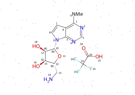 CNc1ncnc2c1ccn2[C@@H]1O[C@H](CN)[C@@H](O)[C@H]1O.O=C(O)C(F)(F)F